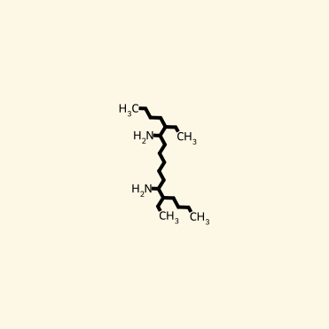 CCCCC(CC)C(N)CCCCCC(N)C(CC)CCCC